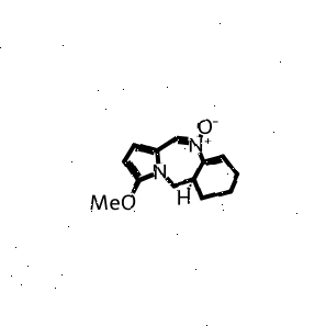 COc1ccc2n1C[C@@H]1CCCC=C1[N+]([O-])=C2